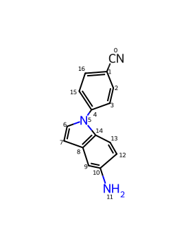 N#Cc1ccc(-n2ccc3cc(N)ccc32)cc1